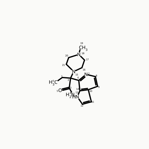 CCC(C(N)=O)(c1nccc2cc[nH]c12)N1CCN(C)CC1